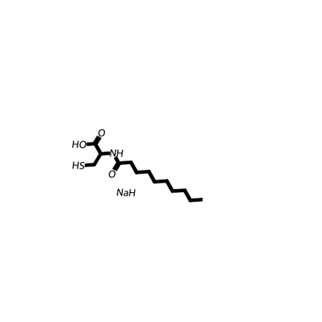 CCCCCCCCCC(=O)NC(CS)C(=O)O.[NaH]